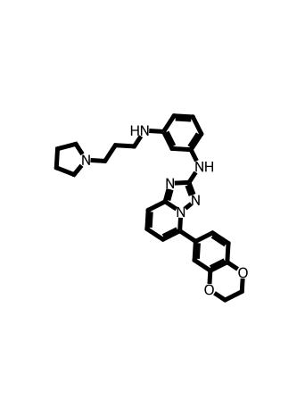 c1cc(NCCCN2CCCC2)cc(Nc2nc3cccc(-c4ccc5c(c4)OCCO5)n3n2)c1